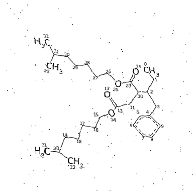 CCC(Cc1ccccc1)C(CC(=O)OCCCCCC(C)C)C(=O)OCCCCCC(C)C